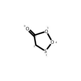 O=C1CSOO1